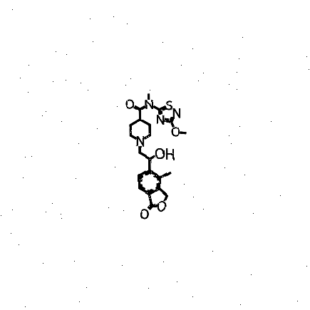 COc1nsc(N(C)C(=O)C2CCN(CC(O)c3ccc4c(c3C)COC4=O)CC2)n1